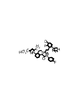 Cc1cc(C(=O)O)nn1-c1cccc2c1CCN(C(=O)C=Cc1c(-n3cnnn3)ccc(Cl)c1F)C2C(=O)Nc1ccc(F)cc1